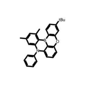 Cc1cc(C)c2c(c1)N(c1ccccc1)c1cccc3c1B2c1ccc(C(C)(C)C)cc1O3